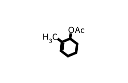 CC(=O)OC1CCCC=C1C